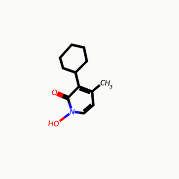 Cc1ccn(O)c(=O)c1C1CCCCC1